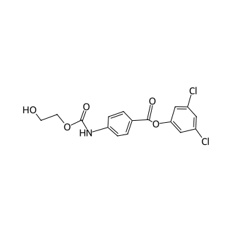 O=C(Nc1ccc(C(=O)Oc2cc(Cl)cc(Cl)c2)cc1)OCCO